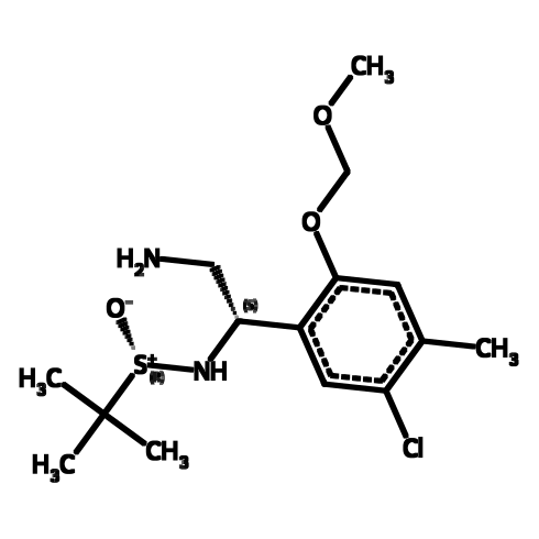 COCOc1cc(C)c(Cl)cc1[C@@H](CN)N[S@@+]([O-])C(C)(C)C